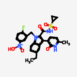 CCc1ccc2c(c1)c(-c1ccc(C)[nH]c1=O)c(C(=O)NS(=O)(=O)C1CC1)n2Cc1cc([N+](=O)O)ccc1F